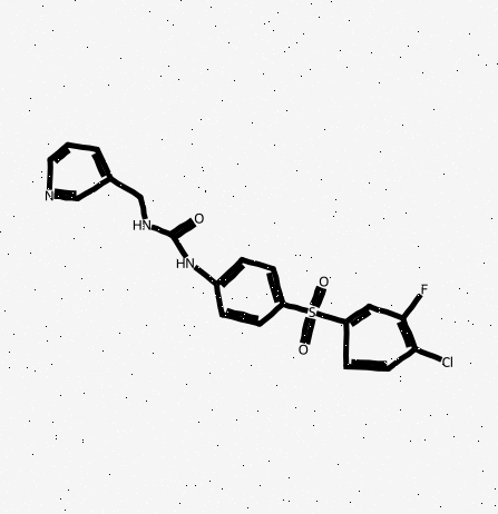 O=C(NCc1cccnc1)Nc1ccc(S(=O)(=O)c2ccc(Cl)c(F)c2)cc1